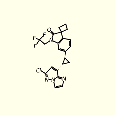 O=C1N(CC(F)(F)F)c2cc([C@H]3C[C@@H]3c3cc(Cl)nn4ccnc34)ccc2C12CCC2